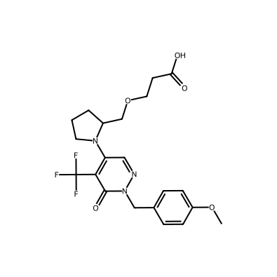 COc1ccc(Cn2ncc(N3CCCC3COCCC(=O)O)c(C(F)(F)F)c2=O)cc1